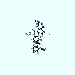 CC(Nc1cc(=O)n(C)c2ccc(Nc3ccnc(Cl)c3C#N)cc12)c1ncc(Br)cn1